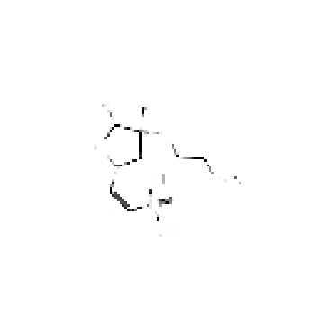 B[C@@H]1O[C@H](/C=C\P(=O)(O)O)C[C@@]1(C)OCCOC